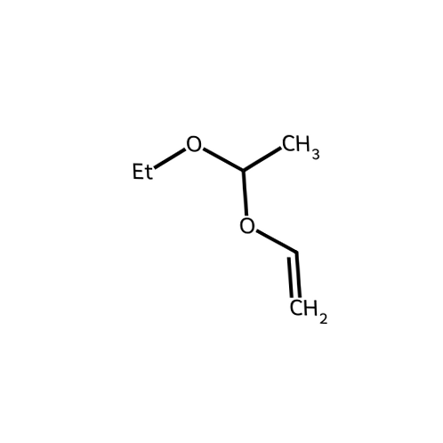 [CH2]COC(C)OC=C